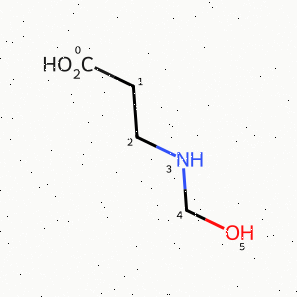 O=C(O)CCNCO